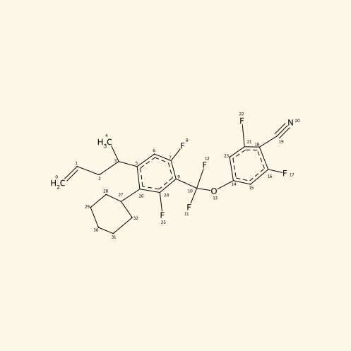 C=CCC(C)c1cc(F)c(C(F)(F)Oc2cc(F)c(C#N)c(F)c2)c(F)c1C1CCCCC1